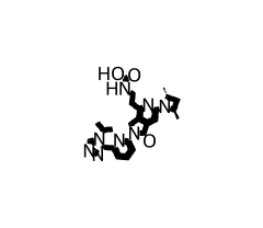 CC(C)n1cnnc1-c1cccc(N2Cc3c(cc(N4[C@H](C)C[C@H]4C)nc3CCNC(=O)O)C2=O)n1